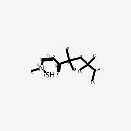 C=C(/C=C\N(C)S)C(C)(C)CC(C)(C)CC